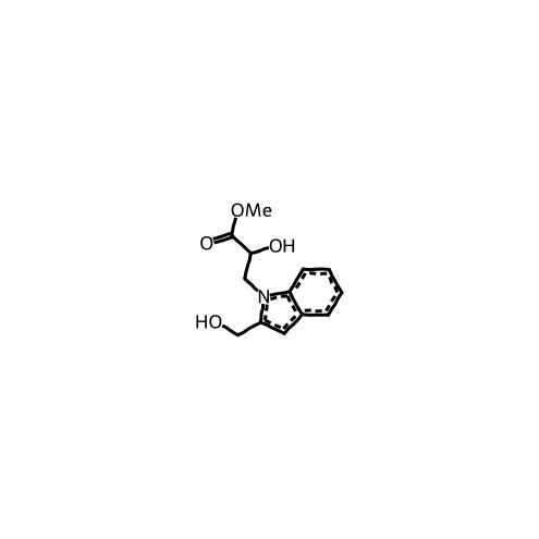 COC(=O)C(O)Cn1c(CO)cc2ccccc21